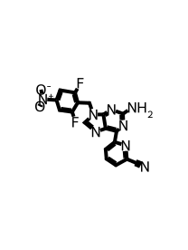 N#Cc1cccc(-c2nc(N)nc3c2ncn3Cc2c(F)cc([N+](=O)[O-])cc2F)n1